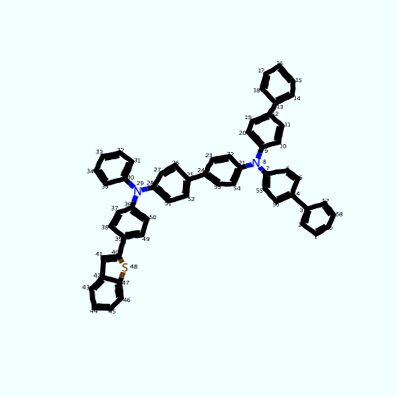 c1ccc(-c2ccc(N(c3ccc(-c4ccccc4)cc3)c3ccc(-c4ccc(N(c5ccccc5)c5ccc(-c6cc7ccccc7s6)cc5)cc4)cc3)cc2)cc1